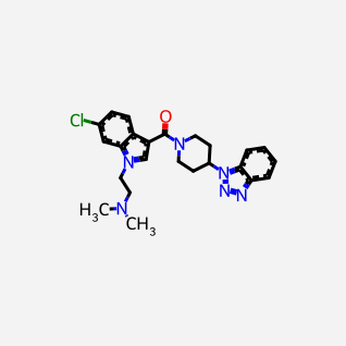 CN(C)CCn1cc(C(=O)N2CCC(n3nnc4ccccc43)CC2)c2ccc(Cl)cc21